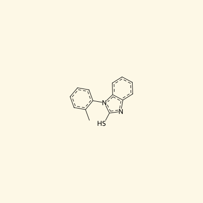 Cc1ccccc1-n1c(S)nc2ccccc21